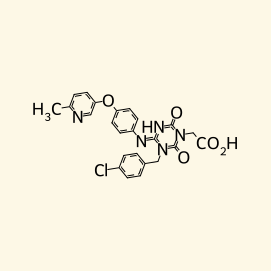 Cc1ccc(Oc2ccc(/N=c3\[nH]c(=O)n(CC(=O)O)c(=O)n3Cc3ccc(Cl)cc3)cc2)cn1